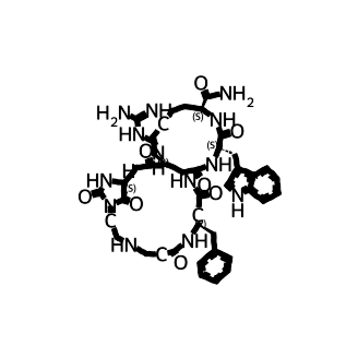 N=C(N)NCC[C@@]12NCCCC[C@@H](C(N)=O)NC(=O)[C@H](Cc3c[nH]c4ccccc34)NC(=O)C1NC(=O)C[C@@H](Cc1ccccc1)NC(=O)CCNCCN1C(=O)N[C@@H](CC2=O)C1=O